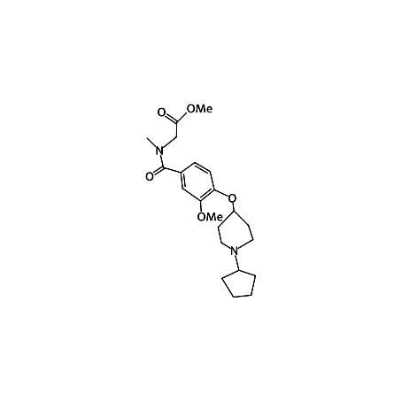 COC(=O)CN(C)C(=O)c1ccc(OC2CCN(C3CCCC3)CC2)c(OC)c1